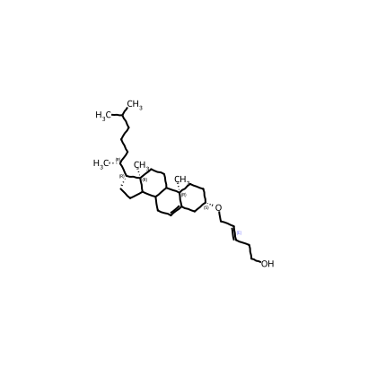 CC(C)CCC[C@@H](C)[C@H]1CCC2C3CC=C4C[C@@H](OC/C=C/CCO)CC[C@]4(C)C3CC[C@@]21C